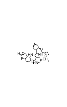 CCc1c(F)cccc1Nc1c(-c2ccncc2OC[C@H]2CCO2)[nH]c2c1C(=O)NC[C@H]2C